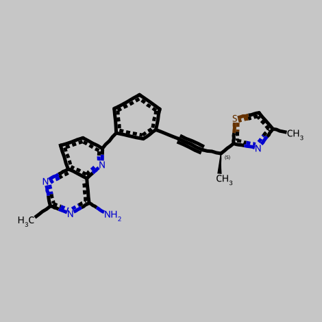 Cc1csc([C@@H](C)C#Cc2cccc(-c3ccc4nc(C)nc(N)c4n3)c2)n1